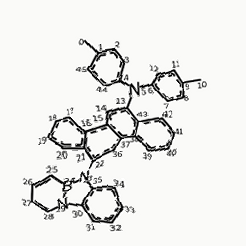 Cc1ccc(N(c2ccc(C)cc2)c2cc3c4ccccc4c(N4B5C=CC=CN5c5ccccc54)cc3c3ccccc23)cc1